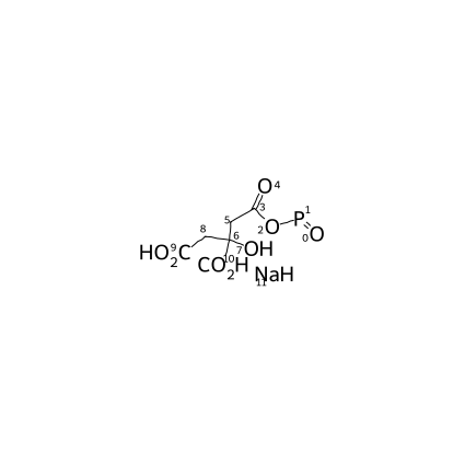 O=POC(=O)CC(O)(CC(=O)O)C(=O)O.[NaH]